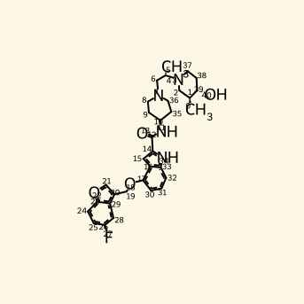 C[C@H]1CN([C@@H](C)CN2CCC(NC(=O)c3cc4c(OCc5coc6ccc(F)cc56)cccc4[nH]3)CC2)CC[C@@H]1O